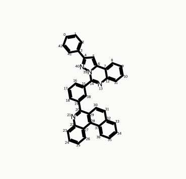 c1ccc(-c2cc3c4ccccc4nc(-c4cccc(-c5nc6ccccc6c6c5ccc5ccccc56)c4)n3n2)cc1